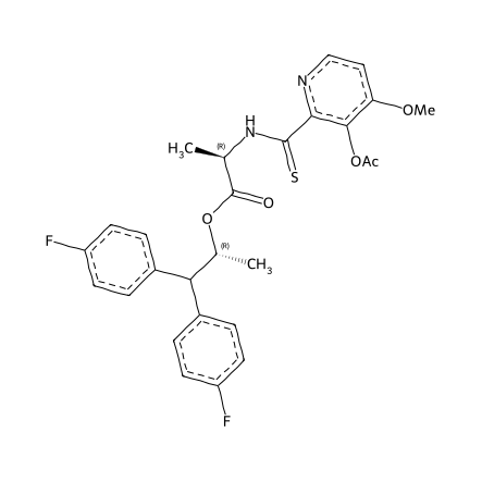 COc1ccnc(C(=S)N[C@H](C)C(=O)O[C@H](C)C(c2ccc(F)cc2)c2ccc(F)cc2)c1OC(C)=O